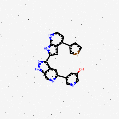 Oc1cncc(-c2cc3c(-c4cc5c(-c6ccsc6)ccnc5[nH]4)n[nH]c3cn2)c1